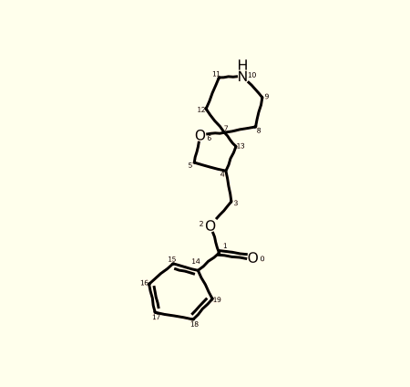 O=C(OCC1COC2(CCNCC2)C1)c1ccccc1